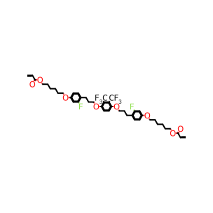 C=CC(=O)OCCCCCCOc1ccc(CCCOc2ccc(OCCCc3ccc(OCCCCCCOC(=O)C=C)cc3F)c(C(F)(F)F)c2C(F)(F)F)c(F)c1